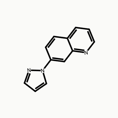 c1cnc2cc(-n3cccn3)ccc2c1